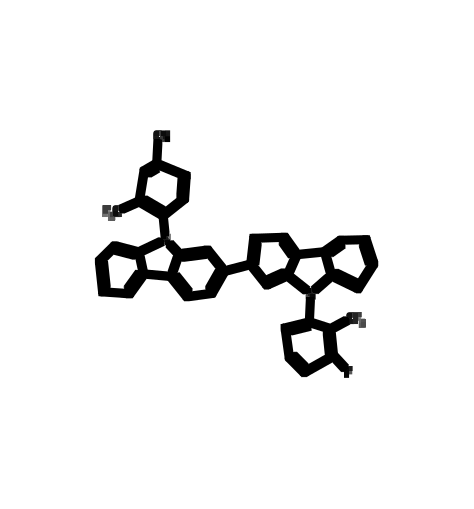 N#Cc1ccc(-n2c3ccccc3c3ccc(-c4ccc5c6ccccc6n(-c6cccc(F)c6C(F)(F)F)c5c4)cc32)c(C(F)(F)F)c1